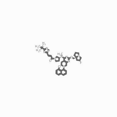 CN(c1nc(OC[C@@]23CCCN2C[C@H](F)C3)nc2c1CCN(c1cccc3cccc(Cl)c13)C2)[C@@H]1CCN(C(=O)/C=C/c2nc(C(C)(C)C)no2)C1